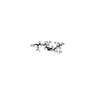 CCOC(=O)C(CSSC(=O)[C@@H](N)CS)NC(=O)c1ccc(C(=O)NC(CSSC(=O)[C@@H](N)CS)C(=O)OCC)s1